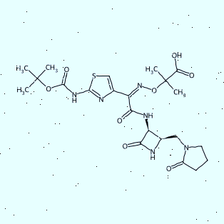 CC(C)(C)OC(=O)Nc1nc(/C(=N/OC(C)(C)C(=O)O)C(=O)N[C@@H]2C(=O)N[C@@H]2CN2CCCC2=O)cs1